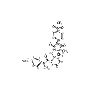 COc1ccc(N(C)C(=O)c2cnccc2CN2C(=O)N(c3ccc(S(=O)(=O)C(F)(F)F)cc3)C(=O)C2(C)C)cc1